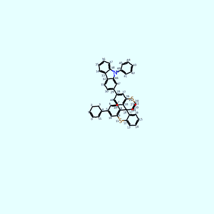 C1=CCCC(c2ccc3c(c2)Sc2ccccc2C32c3ccccc3Sc3cc(-c4ccc5c6ccccc6n(-c6ccccc6)c5c4)ccc32)=C1